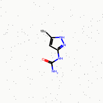 CC(C)(C)c1cc(NC(N)=O)n[nH]1